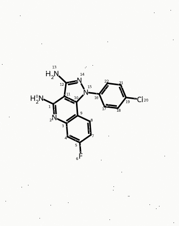 Nc1nc2cc(F)ccc2c2c1c(N)nn2-c1ccc(Cl)cc1